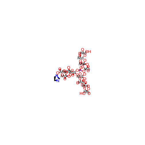 O=P([O][Mo](=[O])(=[O])[O][Mo](=[O])(=[O])[O][Mo](=[O])(=[O])[O][Mo](=[O])(=[O])[OH])([O][Mo](=[O])(=[O])[O][Mo](=[O])(=[O])[O][Mo](=[O])(=[O])[O][Mo](=[O])(=[O])[OH])[O][Mo](=[O])(=[O])[O][Mo](=[O])(=[O])[O][Mo](=[O])(=[O])[O][Mo](=[O])(=[O])[O]n1ccnc1